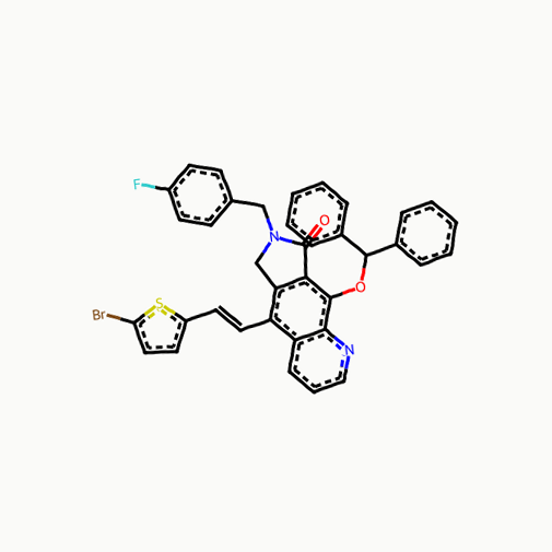 O=C1c2c(c(/C=C/c3ccc(Br)s3)c3cccnc3c2OC(c2ccccc2)c2ccccc2)CN1Cc1ccc(F)cc1